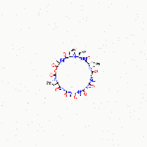 CC(C)CC1C(=O)NC(=O)N(C)C(=O)N(C)C(=O)NC(=O)N(C)CC(=O)N(C)[C@@H](CC(C)C)C(=O)N[C@H](CC(C)C)N(C)[C@H](CC(C)C)C(=O)N[C@H](C)C(=O)OC(=O)N1C